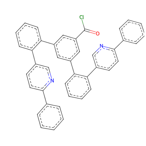 O=C(Cl)c1cc(-c2ccccc2-c2ccc(-c3ccccc3)nc2)cc(-c2ccccc2-c2ccc(-c3ccccc3)nc2)c1